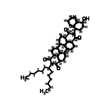 CCCCCCC(CCCCCC)N1C(=O)c2ccc3c4ccc5c6c(ccc(c7ccc(c2c37)C1=O)c64)C(=O)N(c1ccc(O)c2ncccc12)C5=O